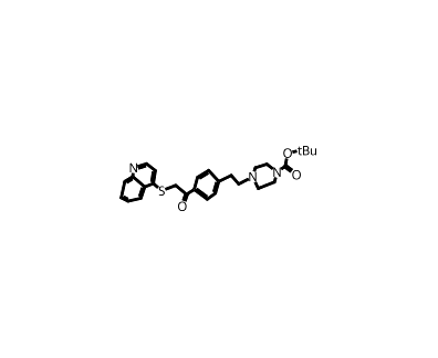 CC(C)(C)OC(=O)N1CCN(CCc2ccc(C(=O)CSc3ccnc4ccccc34)cc2)CC1